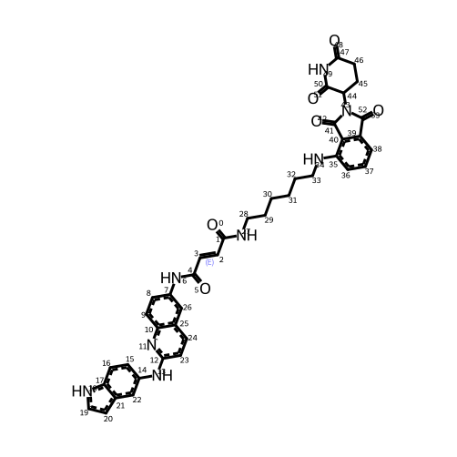 O=C(/C=C/C(=O)Nc1ccc2nc(Nc3ccc4[nH]ccc4c3)ccc2c1)NCCCCCCNc1cccc2c1C(=O)N(C1CCC(=O)NC1=O)C2=O